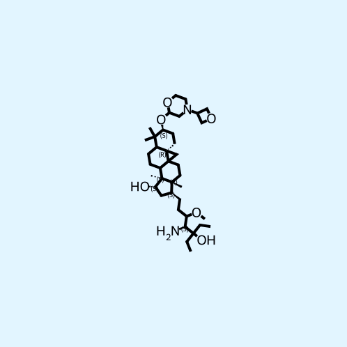 CCC(O)(CC)[C@@H](N)C(CC[C@H]1C[C@H](O)[C@@]2(C)C3CCC4C(C)(C)[C@@H](OC5CN(C6COC6)CCO5)CC[C@@]45CC35CC[C@]12C)OC